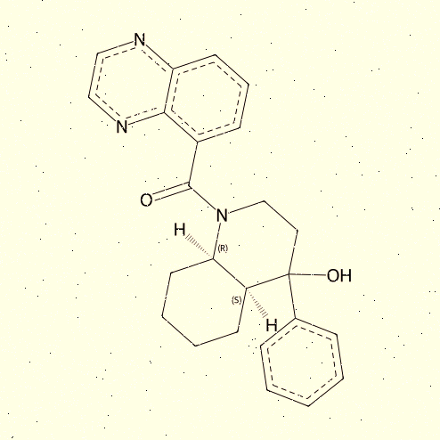 O=C(c1cccc2nccnc12)N1CCC(O)(c2ccccc2)[C@H]2CCCC[C@H]21